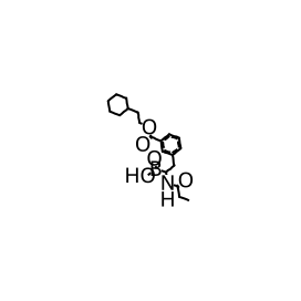 CCC(=O)NC1Cc2cccc(C(=O)OCCC3CCCCC3)c2OB1O